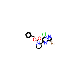 O=C(OCc1ccccc1)N1CCCCC1c1cc(Cl)n2ncc(Br)c2n1